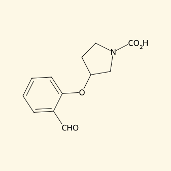 O=Cc1ccccc1OC1CCN(C(=O)O)C1